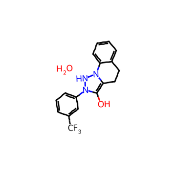 O.OC1=C2CCc3ccccc3N2NN1c1cccc(C(F)(F)F)c1